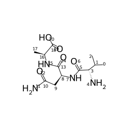 CC(C)[C@H](N)C(=O)N[C@@H](CC(N)=O)C(=O)N[C@@H](C)C(=O)O